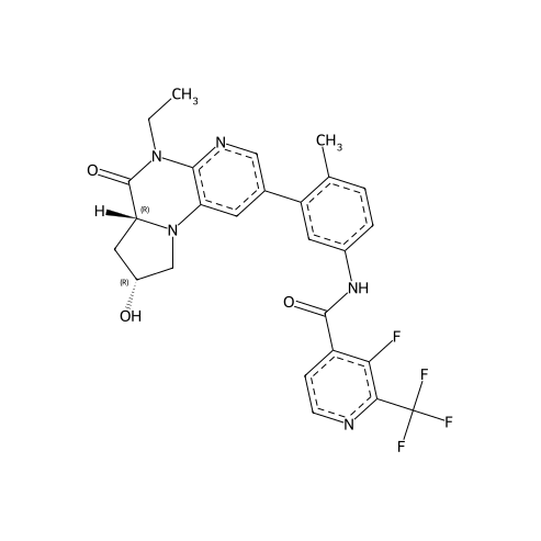 CCN1C(=O)[C@H]2C[C@@H](O)CN2c2cc(-c3cc(NC(=O)c4ccnc(C(F)(F)F)c4F)ccc3C)cnc21